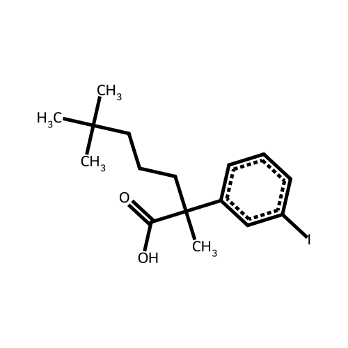 CC(C)(C)CCCC(C)(C(=O)O)c1cccc(I)c1